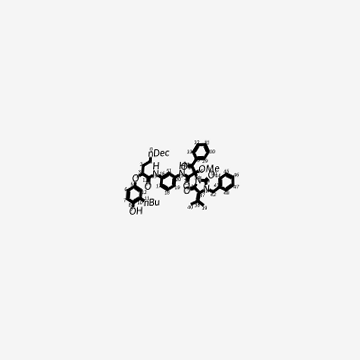 CCCCCCCCCCCCC(Oc1ccc(O)c(CCCC)c1)C(=O)Nc1cccc(NC(=O)C(OC)(C(=O)c2ccccc2)N2C(=O)C(=C(C)C)N(Cc3ccccc3)C2=O)c1